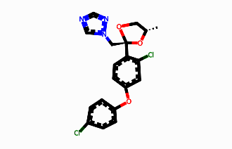 C[C@H]1CO[C@@](Cn2cncn2)(c2ccc(Oc3ccc(Cl)cc3)cc2Cl)O1